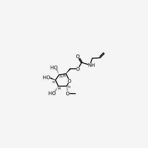 C=CCNC(=O)OC[C@H]1O[C@H](OC)[C@H](O)[C@@H](O)[C@@H]1O